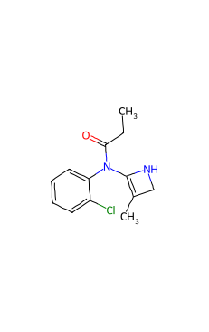 CCC(=O)N(C1=C(C)CN1)c1ccccc1Cl